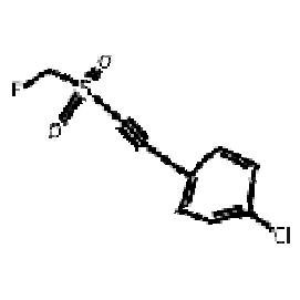 O=S(=O)(C#Cc1ccc(Cl)cc1)CF